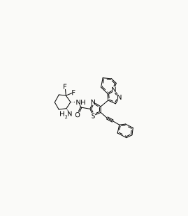 N[C@@H]1CCCC(F)(F)[C@@H]1NC(=O)c1nc(-c2cnn3ccccc23)c(C#Cc2ccccc2)s1